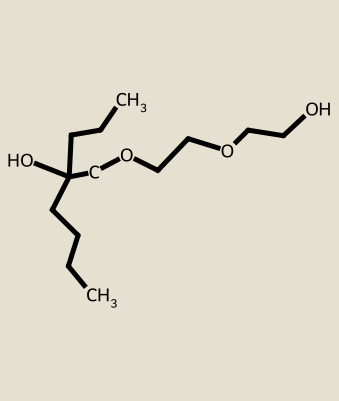 CCCCC(O)(CCC)COCCOCCO